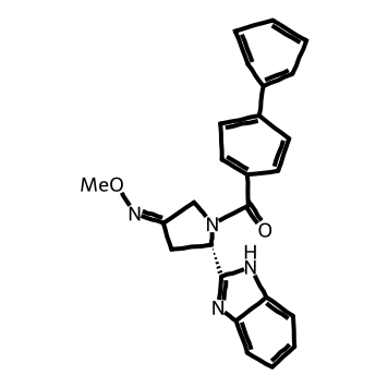 CON=C1C[C@@H](c2nc3ccccc3[nH]2)N(C(=O)c2ccc(-c3ccccc3)cc2)C1